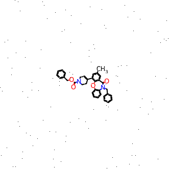 Cc1cc2c(c(C3=CCN(C(=O)OCc4ccccc4)CC3)c1)Oc1ccccc1N(Cc1ccccc1)C2=O